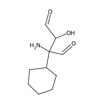 NC(C=O)(C(O)C=O)C1CCCCC1